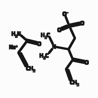 C=CC(=O)C(CS(=O)(=O)[O-])N(C)C.C=CC(N)=O.[Na+]